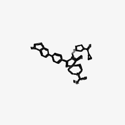 CC(=O)N1CCC2(CC1)N=C(c1ccc(-c3ccc4[nH]ccc4c3)cc1)N(C[C@@H]1CCN(C(=O)C3CC3)C1)C2=O